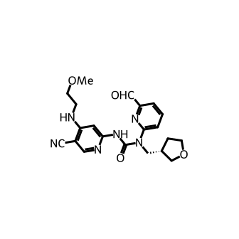 COCCNc1cc(NC(=O)N(C[C@@H]2CCOC2)c2cccc(C=O)n2)ncc1C#N